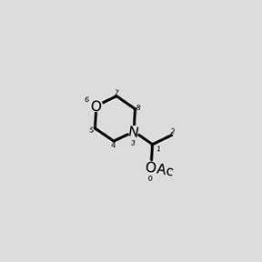 CC(=O)OC(C)N1CCOCC1